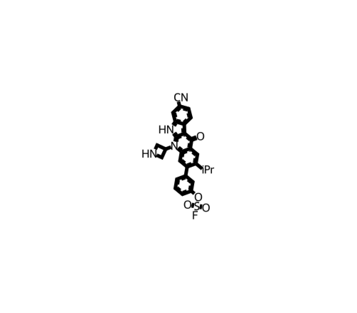 CC(C)c1cc2c(=O)c3c4ccc(C#N)cc4[nH]c3n(C3CNC3)c2cc1-c1cccc(OS(=O)(=O)F)c1